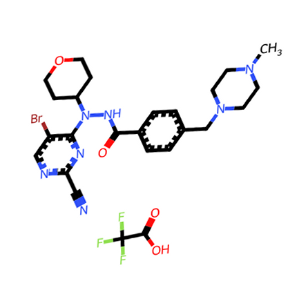 CN1CCN(Cc2ccc(C(=O)NN(c3nc(C#N)ncc3Br)C3CCOCC3)cc2)CC1.O=C(O)C(F)(F)F